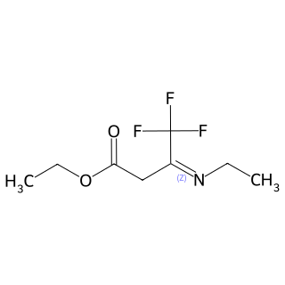 CC/N=C(/CC(=O)OCC)C(F)(F)F